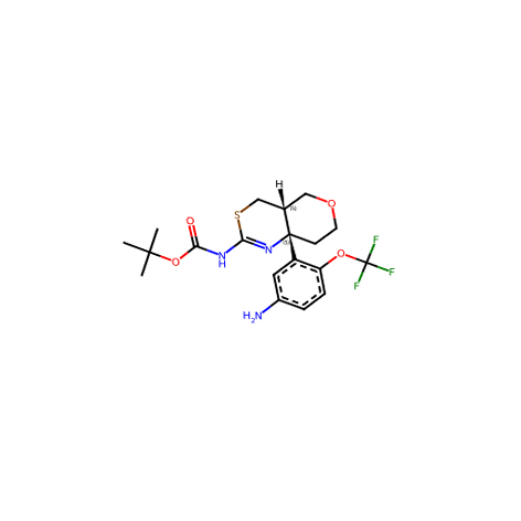 CC(C)(C)OC(=O)NC1=N[C@@]2(c3cc(N)ccc3OC(F)(F)F)CCOC[C@H]2CS1